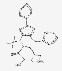 CC(C)(C)[C@H](c1nc(-c2ccccc2)cn1Cc1ccccc1)N(CC1CNC1)C(=O)CO